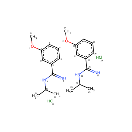 COc1cccc(C(=N)NC(C)C)c1.COc1cccc(C(=N)NC(C)C)c1.Cl.Cl